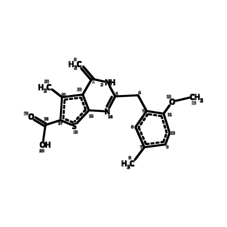 C=C1NC(Cc2cc(C)ccc2OC)=Nc2sc(C(=O)O)c(C)c21